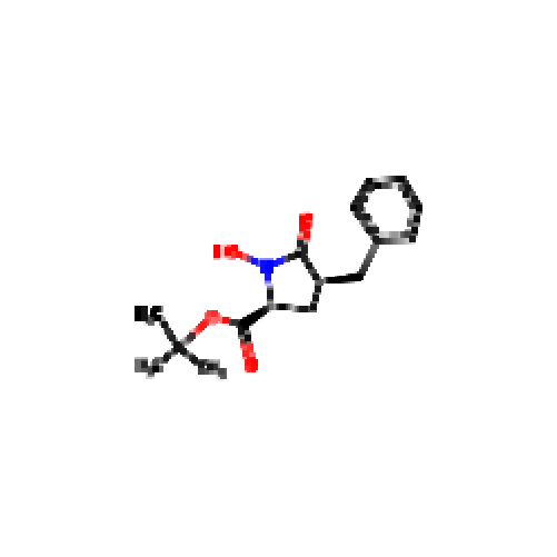 CC(C)(C)OC(=O)[C@@H]1C[C@H](Cc2ccccc2)C(=O)N1O